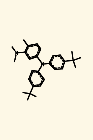 Cc1ccc(N(c2ccc(C(C)(C)C)cc2)c2ccc(C(C)(C)C)cc2)cc1N(C)C